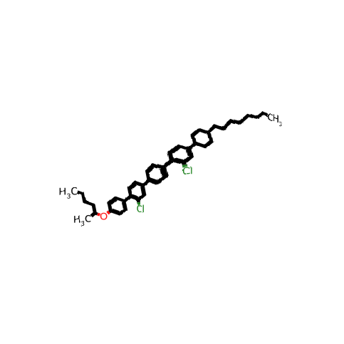 CCCCCCCCC1CCC(c2ccc(-c3ccc(-c4ccc(-c5ccc(OC(C)CCCC)cc5)c(Cl)c4)cc3)c(Cl)c2)CC1